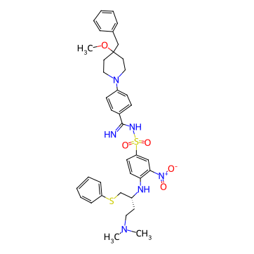 COC1(Cc2ccccc2)CCN(c2ccc(C(=N)NS(=O)(=O)c3ccc(N[C@H](CCN(C)C)CSc4ccccc4)c([N+](=O)[O-])c3)cc2)CC1